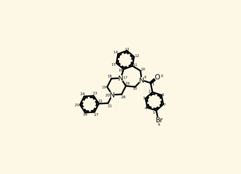 O=C(c1ccc(Br)cc1)N1Cc2ccccc2N2CCN(Cc3ccccc3)CC2C1